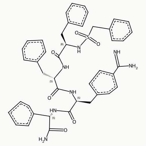 N=C(N)c1ccc(C[C@H](NC(=O)[C@H](Cc2ccccc2)NC(=O)[C@@H](Cc2ccccc2)NS(=O)(=O)Cc2ccccc2)C(=O)N[C@H](C(N)=O)c2ccccc2)cc1